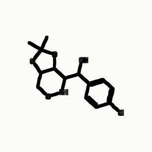 CC1(C)OC2CONC(C(O)c3ccc(Cl)cc3)C2O1